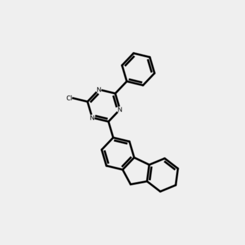 Clc1nc(-c2ccccc2)nc(-c2ccc3c(c2)C2=C(CCC=C2)C3)n1